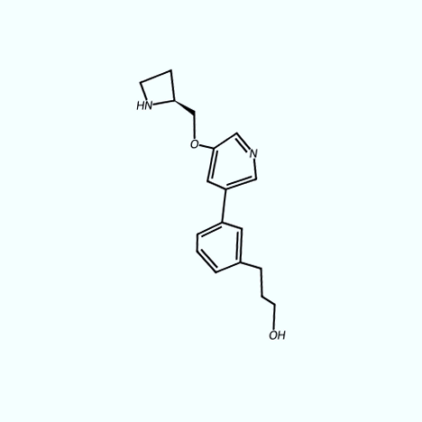 OCCCc1cccc(-c2cncc(OC[C@@H]3CCN3)c2)c1